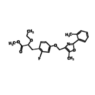 CCOC(Cc1ccc(OCc2nc(-c3ccccc3C)oc2C)cc1F)C(=O)OC